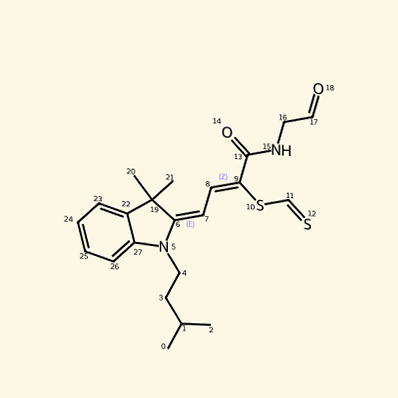 CC(C)CCN1/C(=C/C=C(\SC=S)C(=O)NCC=O)C(C)(C)c2ccccc21